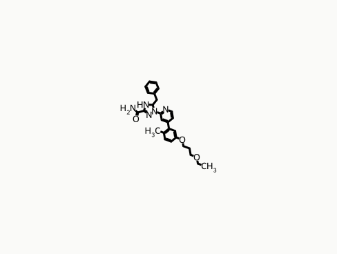 CCOCCCOc1ccc(C)c(-c2ccnc(N3N=C(C(N)=O)NC3Cc3ccccc3)c2)c1